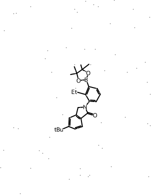 CCc1c(B2OC(C)(C)C(C)(C)O2)cccc1N1Cc2cc(C(C)(C)C)ccc2C1=O